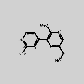 COc1ncc(CO)cc1-c1ccnc(C#N)c1